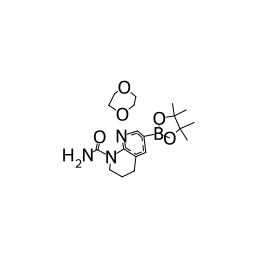 C1COCCO1.CC1(C)OB(c2cnc3c(c2)CCCN3C(N)=O)OC1(C)C